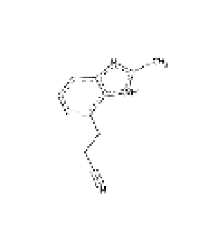 Cc1nc2cccc(CCC#N)c2[nH]1